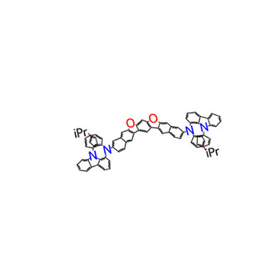 CC(C)c1ccc(N(c2ccc3cc4c(cc3c2)oc2cc3oc5cc6cc(N(c7ccc(C(C)C)cc7)c7cccc8c9ccccc9n(-c9ccccc9)c78)ccc6cc5c3cc24)c2cccc3c4ccccc4n(-c4ccccc4)c23)cc1